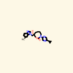 N#Cc1ccc2ncn(C[C@@]3(O)CCCCN(c4cnc(C5CC5)cn4)C(=O)OC3)c2c1